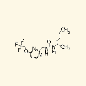 CCCCC(C)NC(=O)NCc1nccc(OCC(F)(F)F)n1